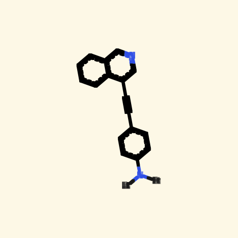 CCN(CC)c1ccc(C#Cc2cncc3ccccc23)cc1